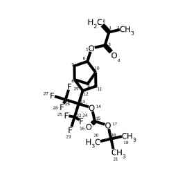 C=C(C)C(=O)OC1CC2CC1CC2C(OC(=O)OC(C)(C)C)(C(F)(F)F)C(F)(F)F